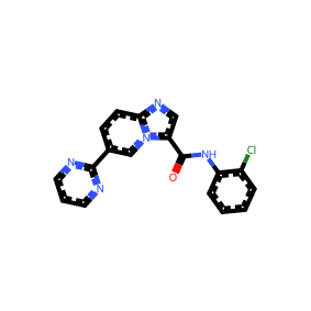 O=C(Nc1ccccc1Cl)c1cnc2ccc(-c3ncccn3)cn12